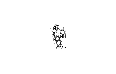 C#Cc1cccc(Nc2nc(OC3CCN(C(C)=O)CC3)nc3cc(OC)ccc23)c1